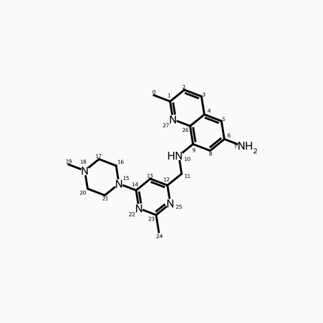 Cc1ccc2cc(N)cc(NCc3cc(N4CCN(C)CC4)nc(C)n3)c2n1